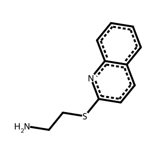 NCCSc1ccc2ccccc2n1